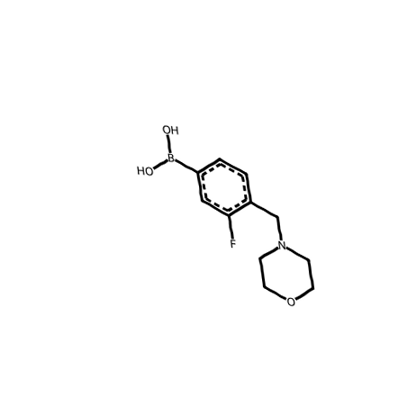 OB(O)c1ccc(CN2CCOCC2)c(F)c1